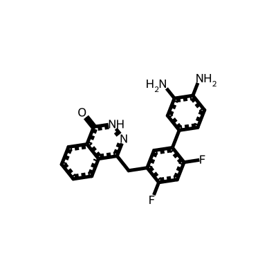 Nc1ccc(-c2cc(Cc3n[nH]c(=O)c4ccccc34)c(F)cc2F)cc1N